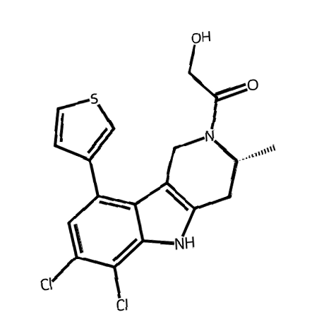 C[C@@H]1Cc2[nH]c3c(Cl)c(Cl)cc(-c4ccsc4)c3c2CN1C(=O)CO